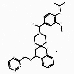 COc1cc(C(O)N2CCC3(CC2)CC(OCc2cccnc2)c2ccccc2O3)ccc1OC(C)C